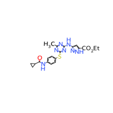 CCOC(=O)c1cc(Nc2nc(C)nc(Sc3ccc(NC(=O)C4CC4)cc3)n2)n[nH]1